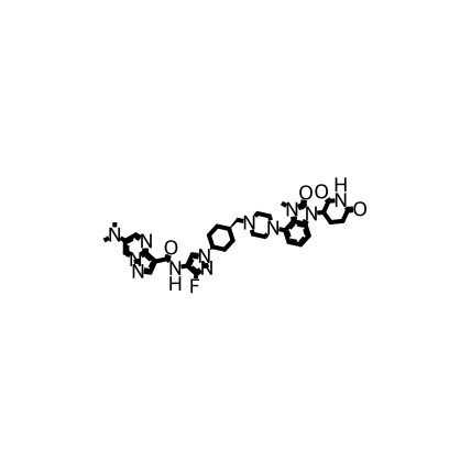 CN(C)c1cnc2c(C(=O)Nc3cn([C@H]4CC[C@H](CN5CCN(c6cccc7c6n(C)c(=O)n7C6CCC(=O)NC6=O)CC5)CC4)nc3F)cnn2c1